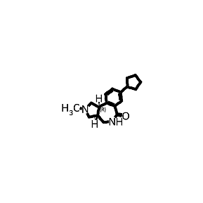 CN1C[C@H]2CNC(=O)c3cc(C4CCCC4)ccc3[C@@H]2C1